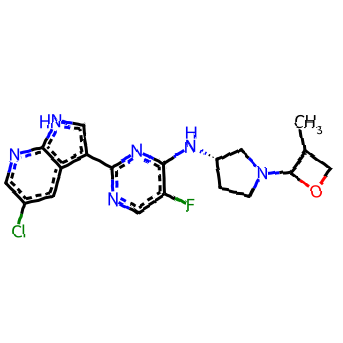 C[C]1COC1N1CC[C@H](Nc2nc(-c3c[nH]c4ncc(Cl)cc34)ncc2F)C1